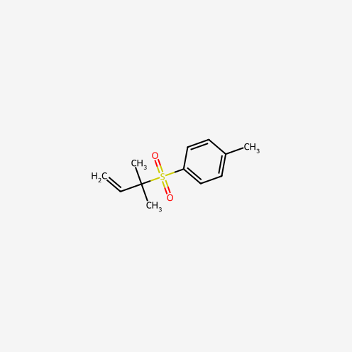 C=CC(C)(C)S(=O)(=O)c1ccc(C)cc1